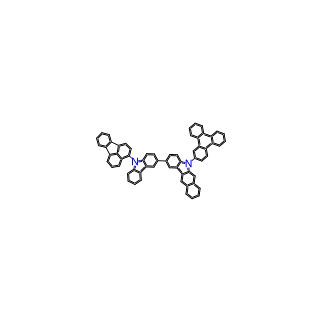 c1ccc2c(c1)-c1cccc3c(-n4c5ccccc5c5cc(-c6ccc7c(c6)c6cc8ccccc8cc6n7-c6ccc7c8ccccc8c8ccccc8c7c6)ccc54)ccc-2c13